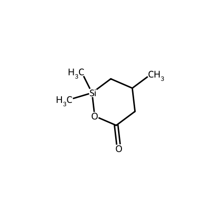 CC1CC(=O)O[Si](C)(C)C1